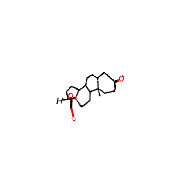 C[C@]12CCC(=O)CC1CCC1C2CC[C@]23CC(=O)O[C@H]2CCC13